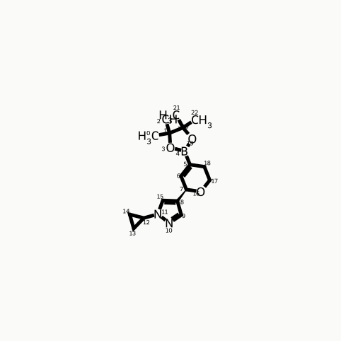 CC1(C)OB(C2=C[C@H](c3cnn(C4CC4)c3)OCC2)OC1(C)C